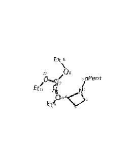 CCCCCN1CCC1.CCO[SiH](OCC)OCC